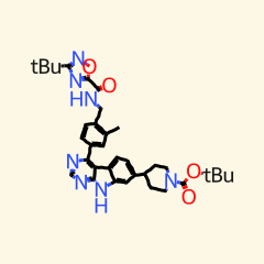 Cc1cc(-c2ncnc3[nH]c4cc(C5CCN(C(=O)OC(C)(C)C)CC5)ccc4c23)ccc1CNC(=O)c1nc(C(C)(C)C)no1